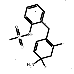 CS(=O)(=O)Nc1ccccc1CC1=C(F)CC(N)(F)C=C1